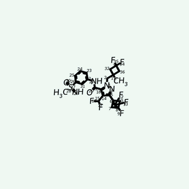 CC1(Cn2nc(C34CC(F)(C3)C4(F)F)c(C(F)F)c2C(=O)Nc2cccc(S(C)(=N)=O)c2)CC(F)(F)C1